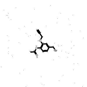 C#CCOc1cc(CBr)ccc1OC(C)=O